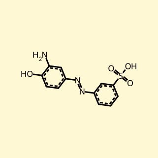 Nc1cc(N=Nc2cccc(S(=O)(=O)O)c2)ccc1O